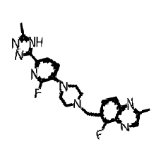 Cc1cnc2c(F)c(CN3CCN(c4ccc(-c5nnc(C)[nH]5)nc4F)CC3)ccc2n1